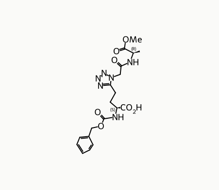 COC(=O)[C@@H](C)NC(=O)Cn1nnnc1CC[C@H](NC(=O)OCc1ccccc1)C(=O)O